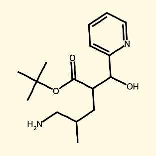 CC(CN)CC(C(=O)OC(C)(C)C)C(O)c1ccccn1